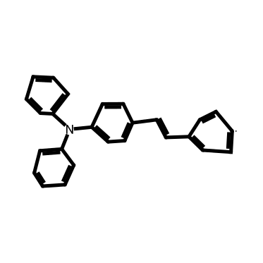 [c]1ccc(C=Cc2ccc(N(c3ccccc3)c3ccccc3)cc2)cc1